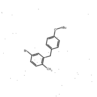 CCCCOc1ccc(Cc2cc(Br)ccc2C)cc1